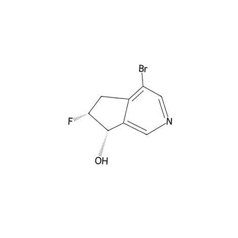 O[C@H]1c2cncc(Br)c2C[C@H]1F